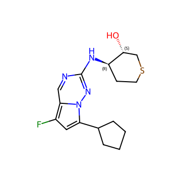 O[C@@H]1CSCC[C@H]1Nc1ncc2c(F)cc(C3CCCC3)n2n1